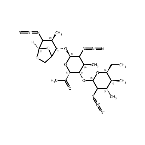 CC[C@@H]1O[C@H](O[C@H]2[C@H](C)C(N=[N+]=[N-])[C@H](O[C@@H]3C4CO[C@H](O4)C(N=[N+]=[N-])[C@H]3C)O[C@H]2C(C)=O)C(N=[N+]=[N-])[C@@H](C)[C@@H]1C